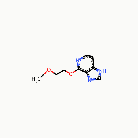 COCCOc1nccc2[nH]cnc12